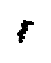 COCC(=O)Nc1cc2c(cc1F)/C(=C/c1[nH]c3c(c1C)C(=O)N(CC(O)CN1CCCCC1)CC3)C(=O)N2